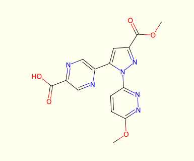 COC(=O)c1cc(-c2cnc(C(=O)O)cn2)n(-c2ccc(OC)nn2)n1